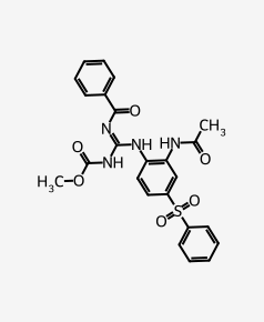 COC(=O)N/C(=N/C(=O)c1ccccc1)Nc1ccc(S(=O)(=O)c2ccccc2)cc1NC(C)=O